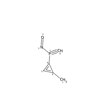 C#P(N=O)C1=C=C1C